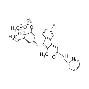 COC1=CC(=CC2=C(C)/C(=C\C(=O)NCc3ccccn3)c3cc(F)ccc32)C=C(OC)C1(OC)OC